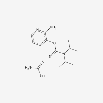 CC(C)N(C(=S)Oc1cccnc1N)C(C)C.NC(O)=S